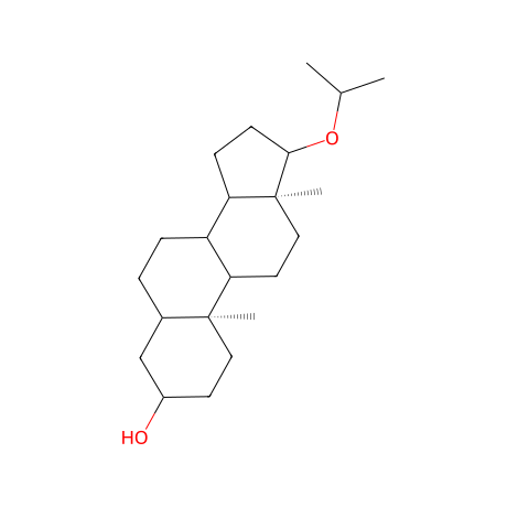 CC(C)OC1CCC2C3CCC4CC(O)CC[C@]4(C)C3CC[C@]12C